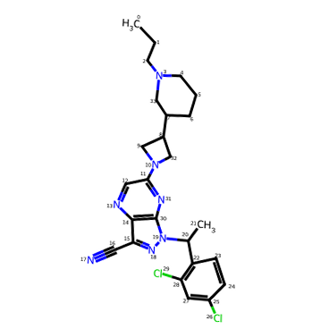 CCCN1CCCC(C2CN(c3cnc4c(C#N)nn(C(C)c5ccc(Cl)cc5Cl)c4n3)C2)C1